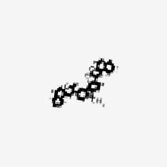 Cn1c2ccc(-c3cc4c(ccc5ccccc54)oc3=O)cc2c2cc(-c3cc4c(ccc5ccccc54)oc3=O)ccc21